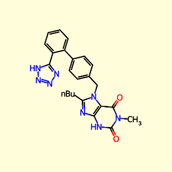 CCCCc1nc2[nH]c(=O)n(C)c(=O)c2n1Cc1ccc(-c2ccccc2-c2nnn[nH]2)cc1